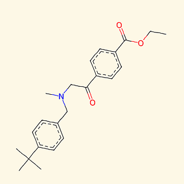 CCOC(=O)c1ccc(C(=O)CN(C)Cc2ccc(C(C)(C)C)cc2)cc1